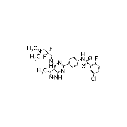 Cc1n[nH]c2nc(-c3ccc(NS(=O)(=O)c4cc(Cl)ccc4F)cc3)nc(NCC(F)(F)CN(C)C)c12